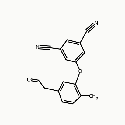 Cc1ccc(CC=O)cc1Oc1cc(C#N)cc(C#N)c1